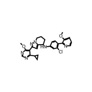 COc1cccnc1-c1ccc(NC2CCCn3nc(-c4c(OC)ncnc4C4CC4)cc32)cc1Cl